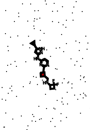 FC1(F)CCC1NCC12CC(C1)N(c1nccc(Nc3cc(C4CC4)[nH]n3)n1)C2